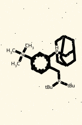 CC(C)(C)P(Cc1ccc([Si](C)(C)C)cc1[PH]12CC3CC(CC(C3)C1)C2)C(C)(C)C